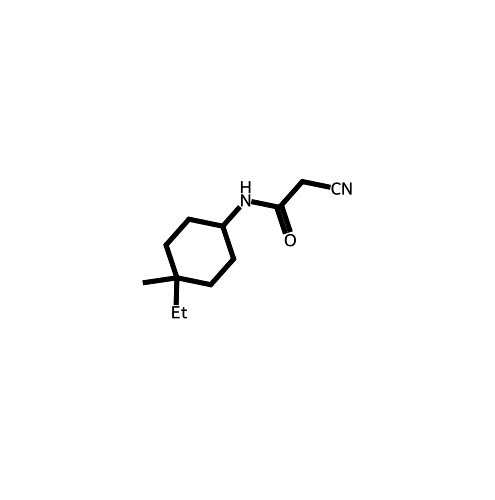 CCC1(C)CCC(NC(=O)CC#N)CC1